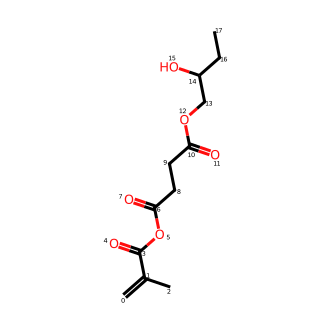 C=C(C)C(=O)OC(=O)CCC(=O)OCC(O)CC